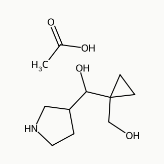 CC(=O)O.OCC1(C(O)C2CCNC2)CC1